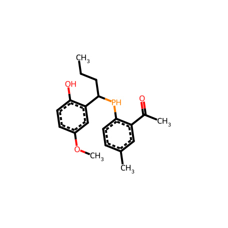 CCCC(Pc1ccc(C)cc1C(C)=O)c1cc(OC)ccc1O